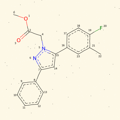 COC(=O)Cn1nc(-c2ccccc2)cc1-c1ccc(F)c(C)c1